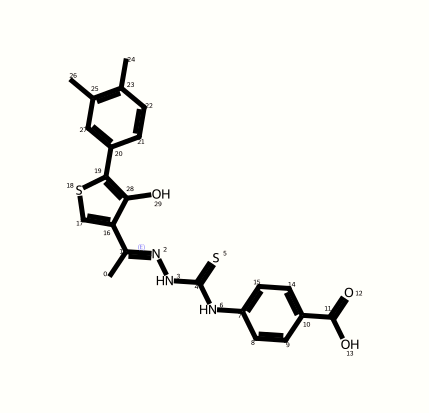 C/C(=N\NC(=S)Nc1ccc(C(=O)O)cc1)c1csc(-c2ccc(C)c(C)c2)c1O